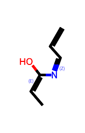 C=C/C=N\C(O)=C/C